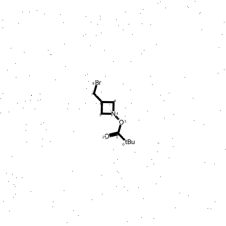 CC(C)(C)C(=O)ON1CC(CBr)C1